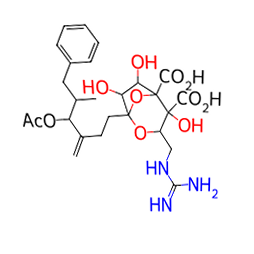 C=C(CCC12OC(CNC(=N)N)C(O)(C(=O)O)C(C(=O)O)(O1)C(O)C2O)C(OC(C)=O)C(C)Cc1ccccc1